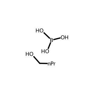 CCCCO.OB(O)O